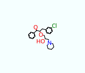 O=C(c1ccccc1)C(Cc1cccc(Cl)c1)OCC(O)CN1CCCCC1